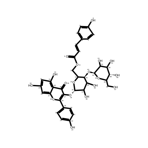 O=C(/C=C/c1ccc(O)cc1)OCC1O[C@@H](Oc2c(-c3ccc(O)cc3)oc3cc(O)cc(O)c3c2=O)C(O)C(O)[C@@H]1O[C@@H]1OC(CO)[C@@H](O)C(O)C1O